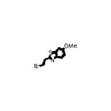 COc1ccc2nc(/C=C/Br)sc2c1